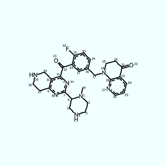 CN1CCNCC1c1nc2c(c(C(=O)c3cc(CN4CCC(=O)c5cccnc54)ccc3F)n1)CNCC2